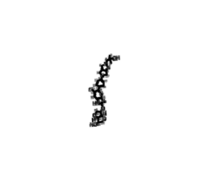 CC(C)(O)Cn1cc2c(n1)CN(c1ccc(-c3nc4nc(O[C@@H]5CO[C@H]6[C@@H]5OC[C@H]6O)[nH]c4cc3Cl)cc1)C2